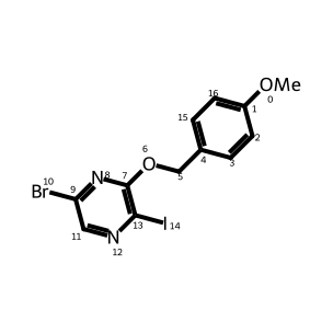 COc1ccc(COc2nc(Br)cnc2I)cc1